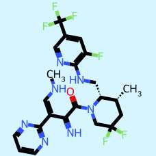 CN/C=C(\C(=N)C(=O)N1CC(F)(F)C[C@@H](C)[C@H]1CNc1ncc(C(F)(F)F)cc1F)c1ncccn1